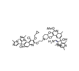 COC1=NC2C(=CC(C(O)(/C(=C/N)N(C)N)c3ccc(C)nc3C)=CC2C)C(Cl)=C1OC1CCN(CCOc2nc3ccc(C(O)(c4cnc(C)n4C)c4cnc(C)n4C)cc3c(Cl)c2OCC2CC2)CC1